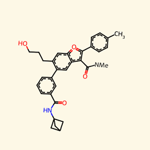 CNC(=O)c1c(-c2ccc(C)cc2)oc2cc(CCCO)c(-c3cccc(C(=O)NC45CC(C4)C5)c3)cc12